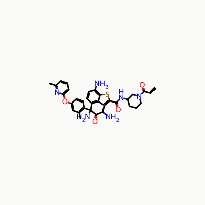 C=CC(=O)N1CCCC(NC(=O)c2sc3c(N)ccc4c3c2C(N)C(=O)C4(N)c2ccc(Oc3cccc(C)n3)cc2C)C1